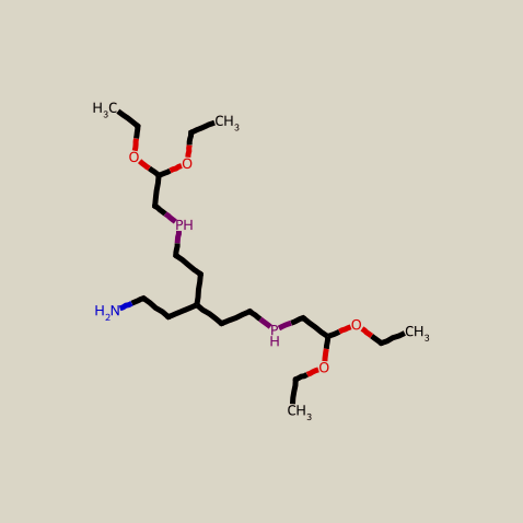 CCOC(CPCCC(CCN)CCPCC(OCC)OCC)OCC